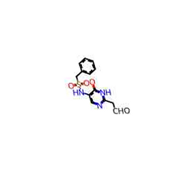 O=CCc1ncc(NS(=O)(=O)Cc2ccccc2)c(=O)[nH]1